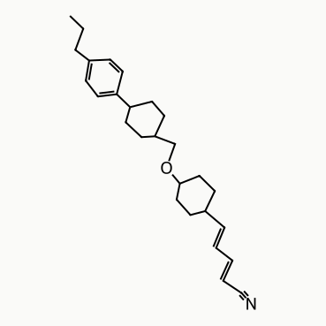 CCCc1ccc(C2CCC(COC3CCC(C=CC=CC#N)CC3)CC2)cc1